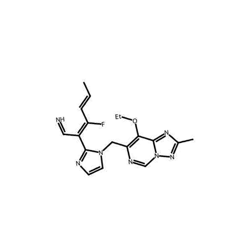 CC=CC(F)=C(C=N)c1nccn1Cc1ncn2nc(C)nc2c1OCC